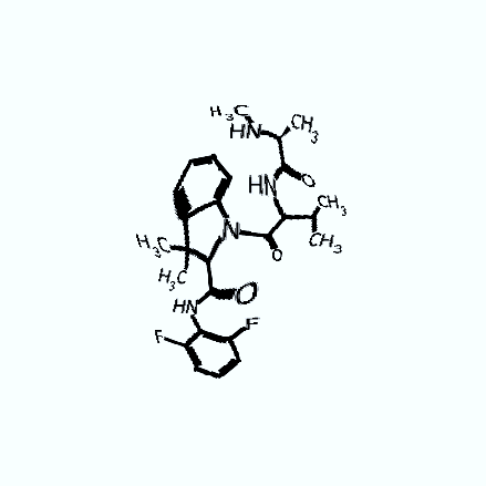 CN[C@@H](C)C(=O)NC(C(=O)N1c2ccccc2C(C)(C)C1C(=O)Nc1c(F)cccc1F)C(C)C